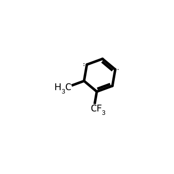 CC1[C]C=[C]C=C1C(F)(F)F